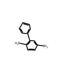 Bc1ccc(B)c(-c2ccccc2)c1